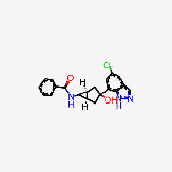 O=C(NC1[C@H]2CC(O)(c3cc(Cl)cc4cn[nH]c34)C[C@@H]12)c1ccccc1